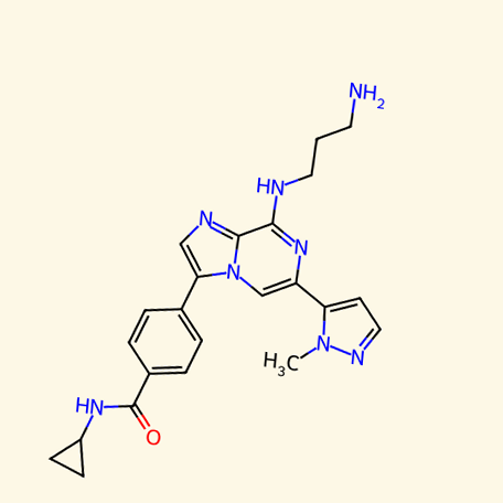 Cn1nccc1-c1cn2c(-c3ccc(C(=O)NC4CC4)cc3)cnc2c(NCCCN)n1